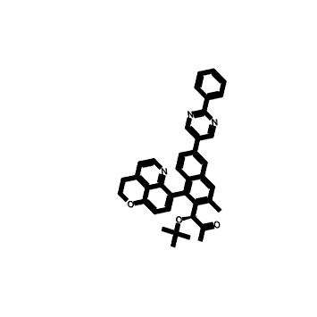 CC(=O)[C@@H](OC(C)(C)C)c1c(C)cc2cc(-c3cnc(-c4ccccc4)nc3)ccc2c1-c1ccc2c3c(ccnc13)CCO2